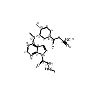 CNNC(=O)n1ccc2c(N(C)[C@H]3CN(C(=O)CC#N)CC[C@H]3C)ncnc21.Cl